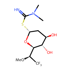 CO[C@@H]([C@H]1O[C@H](SC(=N)N(C)C)C[C@@H](O)[C@@H]1O)C(F)(F)F